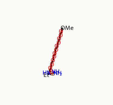 CCC(CSSC(=N)N)NC(=O)CCOCCOCCOCCOCCOCCOCCOCCOCCOCCOCCOCCOC